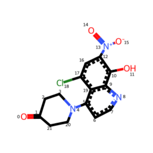 O=C1CCN(c2ccnc3c(O)c([N+](=O)[O-])cc(Cl)c23)CC1